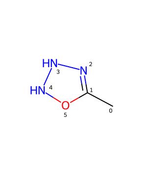 CC1=NNNO1